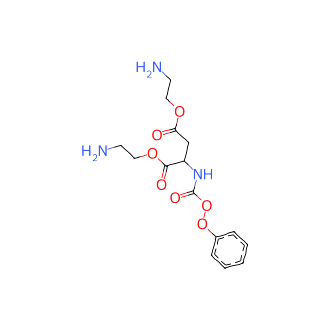 NCCOC(=O)CC(NC(=O)OOc1ccccc1)C(=O)OCCN